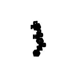 O=C(COc1ccc(Cl)c(F)c1)NC1CCC(C(=O)N2CC(c3ccccc3)C2)CC1